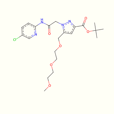 COCCOCCOCc1cc(C(=O)OC(C)(C)C)nn1CC(=O)Nc1ccc(Cl)cn1